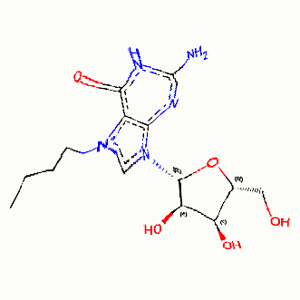 CCCC[n+]1cn([C@@H]2O[C@H](CO)[C@@H](O)[C@H]2O)c2nc(N)[nH]c(=O)c21